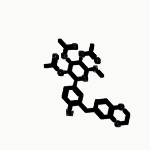 CS[C@H]1O[C@@H](c2ccc(Br)c(Cc3ccc4c(c3)OCCO4)c2)[C@H](OC(C)=O)[C@@H](OC(C)=O)[C@@H]1OC(C)=O